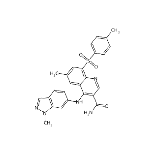 Cc1ccc(S(=O)(=O)c2cc(C)cc3c(Nc4ccc5cnn(C)c5c4)c(C(N)=O)cnc23)cc1